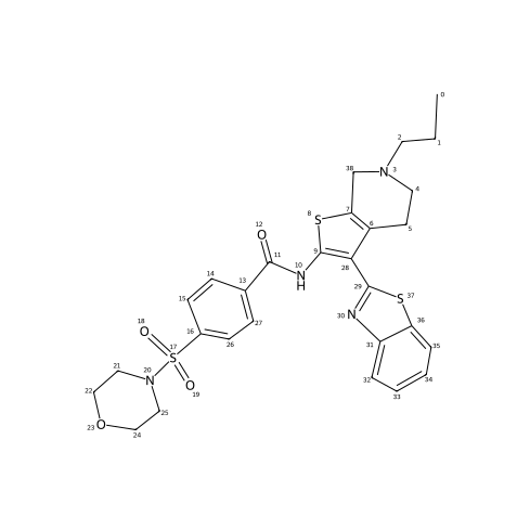 CCCN1CCc2c(sc(NC(=O)c3ccc(S(=O)(=O)N4CCOCC4)cc3)c2-c2nc3ccccc3s2)C1